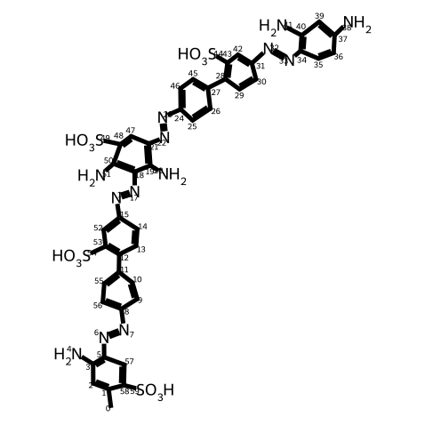 Cc1cc(N)c(N=Nc2ccc(-c3ccc(N=Nc4c(N)c(N=Nc5ccc(-c6ccc(N=Nc7ccc(N)cc7N)cc6S(=O)(=O)O)cc5)cc(S(=O)(=O)O)c4N)cc3S(=O)(=O)O)cc2)cc1S(=O)(=O)O